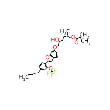 C=C(C)C(=O)OCC(C)CCC(O)COc1ccc2cc(-c3ccc(CCCCC)cc3OC(F)(F)F)oc2c1